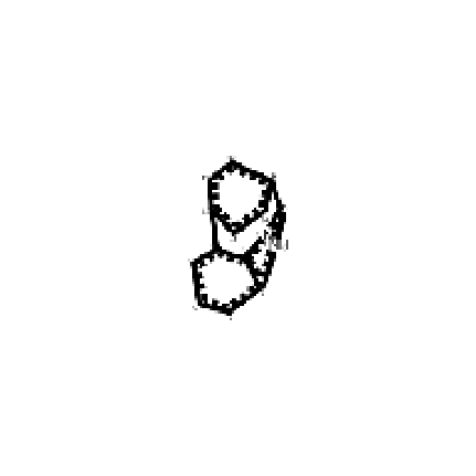 c1cc2c3nc([nH]c3c1)-c1ccc-2cc1